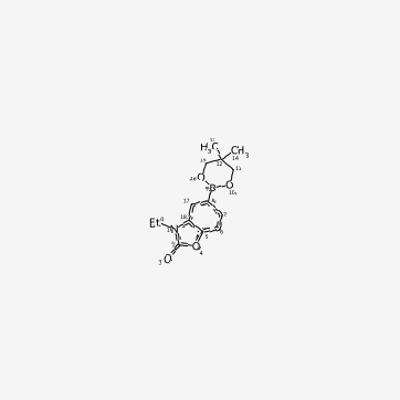 CCn1c(=O)oc2ccc(B3OCC(C)(C)CO3)cc21